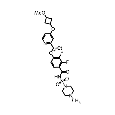 CC[C@@H](Oc1ccc(C(=O)NS(=O)(=O)N2CCN(C)CC2)c(F)c1F)c1cc(OC2CC(OC)C2)ccn1